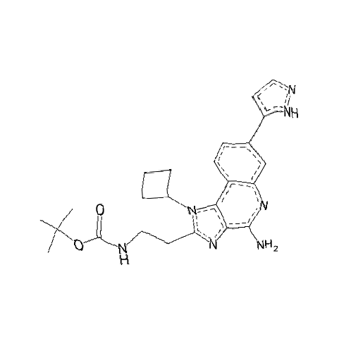 CC(C)(C)OC(=O)NCCc1nc2c(N)nc3cc(-c4ccn[nH]4)ccc3c2n1C1CCC1